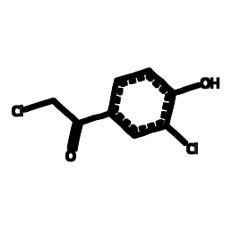 O=C(CCl)c1ccc(O)c(Cl)c1